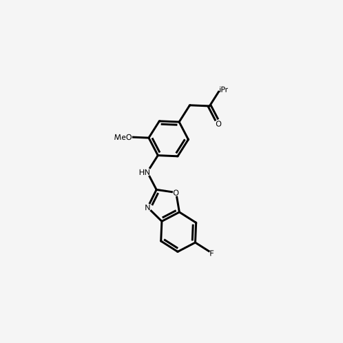 COc1cc(CC(=O)C(C)C)ccc1Nc1nc2ccc(F)cc2o1